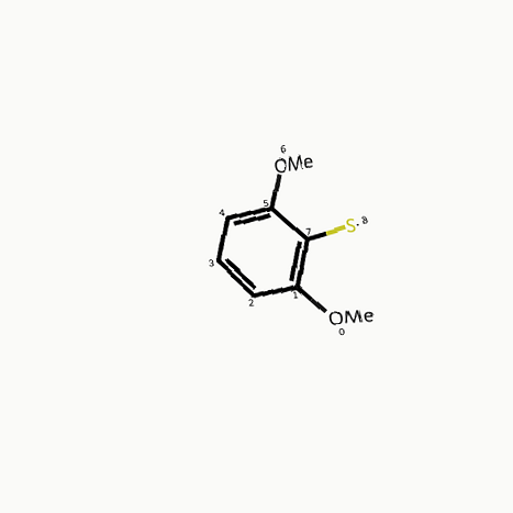 COc1cccc(OC)c1[S]